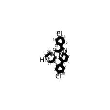 Clc1ccc(-c2ccc3nc(-c4ccc(Cl)cc4)c(CN4CCCNCC4)n3c2)cc1